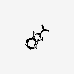 CC(C)c1nc2cncnn2n1